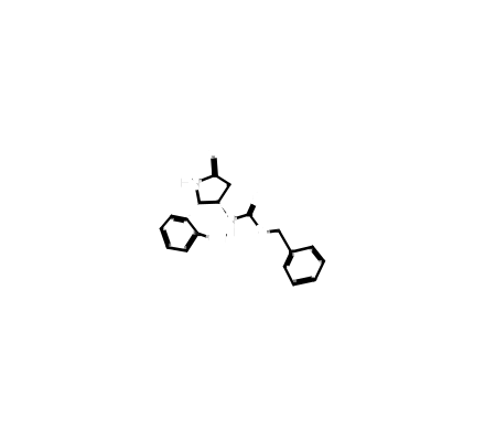 Cc1ccccc1[C@@H]1NC(=O)C[C@H]1NC(=O)OCc1ccccc1